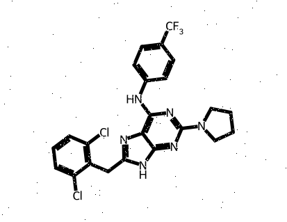 FC(F)(F)c1ccc(Nc2nc(N3CCCC3)nc3[nH]c(Cc4c(Cl)cccc4Cl)nc23)cc1